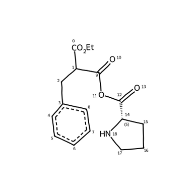 CCOC(=O)C(Cc1ccccc1)C(=O)OC(=O)[C@@H]1CCCN1